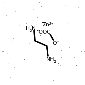 NCCN.O=C([O-])[O-].[Zn+2]